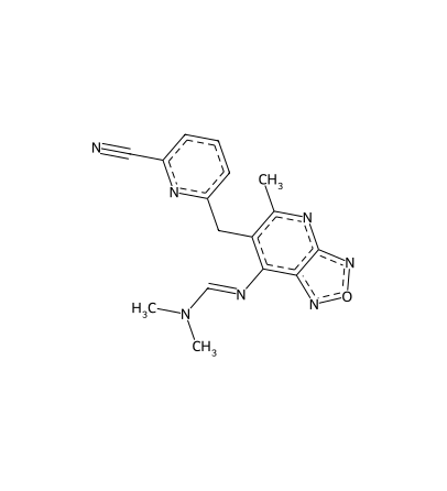 Cc1nc2nonc2c(N=CN(C)C)c1Cc1cccc(C#N)n1